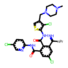 CCCC(=N)c1cc(Cl)cc(C(=O)Nc2ccc(Cl)cn2)c1C(=O)Nc1scc(CN2CCN(C)CC2)c1Cl